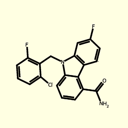 NC(=O)c1cccc2c1c1[c]cc(F)cc1n2Cc1c(F)cccc1Cl